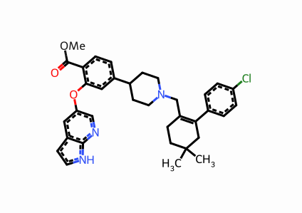 COC(=O)c1ccc(C2CCN(CC3=C(c4ccc(Cl)cc4)CC(C)(C)CC3)CC2)cc1Oc1cnc2[nH]ccc2c1